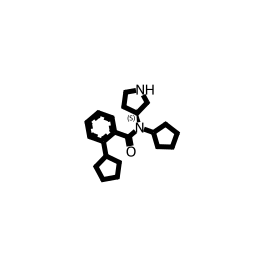 O=C(c1ccccc1C1CCCC1)N(C1CCCC1)[C@H]1CCNC1